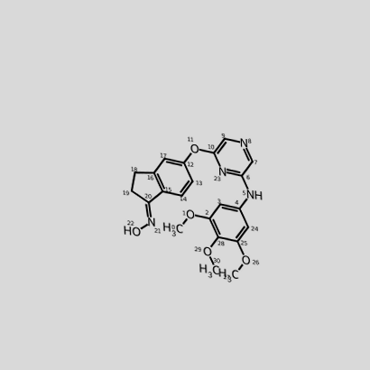 COc1cc(Nc2cncc(Oc3ccc4c(c3)CCC4=NO)n2)cc(OC)c1OC